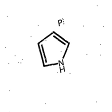 [P].c1cc[nH]c1